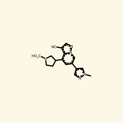 Cn1cc(-c2cc(C3CCN(C(=O)O)C3)c3c(C#N)cnn3c2)cn1